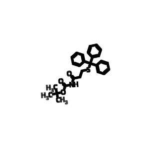 CC(C)(C)OC(=O)NC(=O)CCSC(c1ccccc1)(c1ccccc1)c1ccccc1